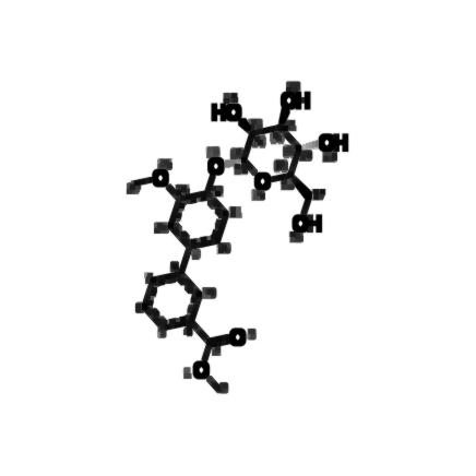 COC(=O)c1cccc(-c2ccc(O[C@H]3O[C@H](CO)[C@@H](O)[C@H](O)[C@@H]3O)c(OC)c2)c1